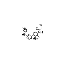 Cn1cc(Nc2nccc(-c3ccc(NC(=O)CC4CC4)c4cc[nH]c34)n2)cn1